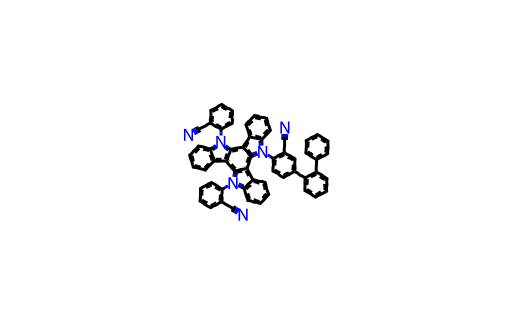 N#Cc1ccccc1-n1c2ccccc2c2c1c1c3ccccc3n(-c3ccc(-c4ccccc4-c4ccccc4)cc3C#N)c1c1c3ccccc3n(-c3ccccc3C#N)c21